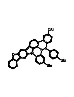 CC(C)(C)c1ccc(N2B3c4cc(C(C)(C)C)ccc4-n4c5cc6c(cc5c5ccc(c3c54)-c3cc(C(C)(C)C)ccc32)oc2ccccc26)cc1